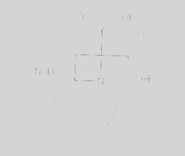 COCN1C(=O)CC1(C(=O)O)C(=O)O.[NaH]